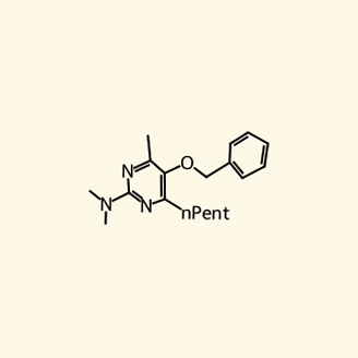 CCCCCc1nc(N(C)C)nc(C)c1OCc1ccccc1